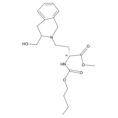 CCCCOC(=O)N[C@H](CCN1Cc2ccccc2CC1CO)C(=O)OC